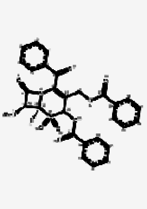 CO[C@H]1C(=O)N2C(C(=O)c3ccccc3)=C(COC(=O)c3ccccc3)C(OC(=O)c3ccccc3)S(=O)(=O)[C@@H]12